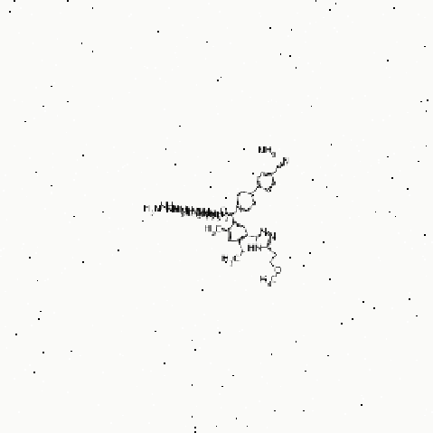 CCc1cc(C)c(C(=O)N2CCC(c3ccc(C#N)cc3)CC2)cc1-c1nnc(CCOC)[nH]1.N.N.N.N.N.N.N.N.N.N.N